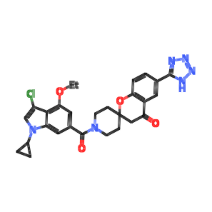 CCOc1cc(C(=O)N2CCC3(CC2)CC(=O)c2cc(-c4nnn[nH]4)ccc2O3)cc2c1c(Cl)cn2C1CC1